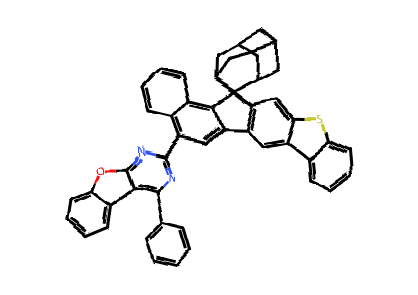 c1ccc(-c2nc(-c3cc4c(c5ccccc35)C3(c5cc6sc7ccccc7c6cc5-4)C4CC5CC(C4)CC3C5)nc3oc4ccccc4c23)cc1